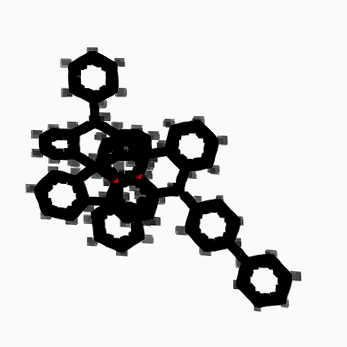 c1ccc(-c2ccc(N(c3ccc4c(c3)C3(c5ccccc5-4)c4ccccc4N(c4ccccc4)c4ccccc43)c3ccccc3-c3cccc4c3oc3ccccc34)cc2)cc1